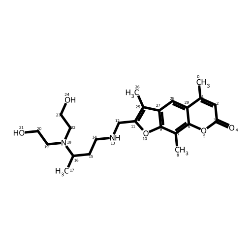 Cc1cc(=O)oc2c(C)c3oc(CNCCC(C)N(CCO)CCO)c(C)c3cc12